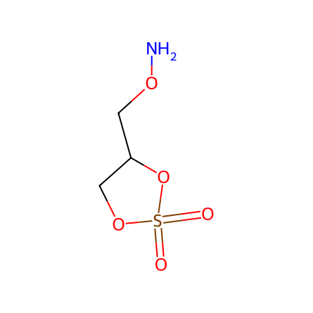 NOCC1COS(=O)(=O)O1